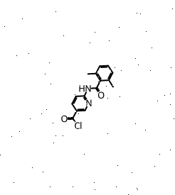 Cc1cccc(C)c1C(=O)Nc1ccc(C(=O)Cl)cn1